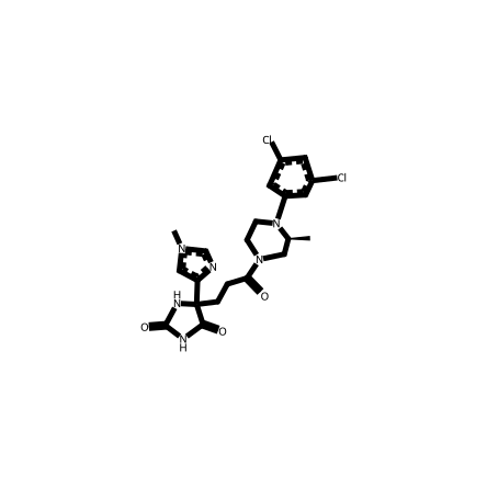 C[C@H]1CN(C(=O)CCC2(c3cn(C)cn3)NC(=O)NC2=O)CCN1c1cc(Cl)cc(Cl)c1